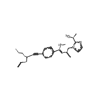 C=C(/C=C(\PC)c1ccc(C#CC(CCC)CCC)cc1)Cn1ccnc1[C@H](C)O